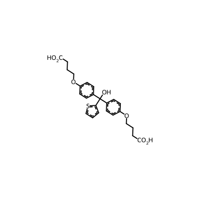 O=C(O)CCCOc1ccc(C(O)(c2ccc(OCCCC(=O)O)cc2)c2cccs2)cc1